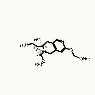 COCOc1cc2c(cn1)C[C@](O)([C@H](O)CN)N(C(=O)OC(C)(C)C)C2